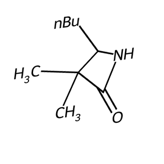 CCCCC1NC(=O)C1(C)C